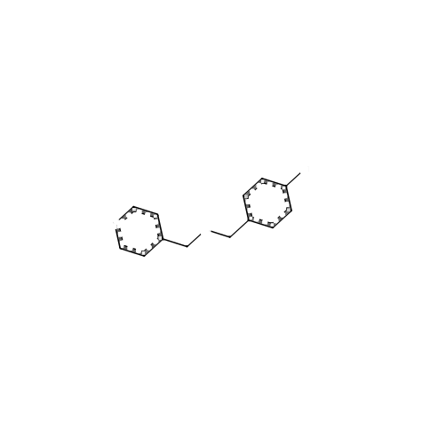 Clc1ccc(COCc2ccncc2)cc1